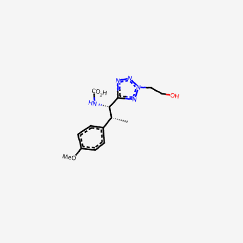 COc1ccc([C@@H](C)[C@H](NC(=O)O)c2nnn(CCO)n2)cc1